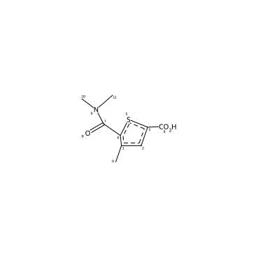 Cc1cc(C(=O)O)sc1C(=O)N(C)C